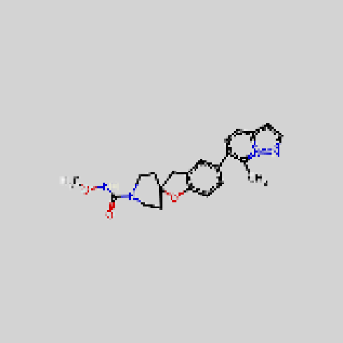 CONC(=O)N1CCC2(CC1)Cc1cc(-c3ccc4ccnn4c3C)ccc1O2